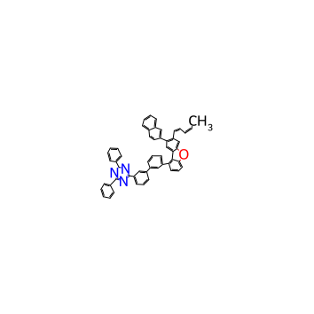 C/C=C\C=C/c1cc2oc3cccc(-c4cccc(-c5cccc(-c6nc(-c7ccccc7)nc(-c7ccccc7)n6)c5)c4)c3c2cc1-c1ccc2ccccc2c1